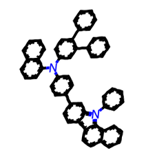 c1ccc(-c2ccc(N(c3ccc(-c4ccc5c6ccc7ccccc7c6n(-c6ccccc6)c5c4)cc3)c3cccc4ccccc34)cc2-c2ccccc2)cc1